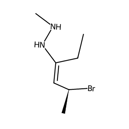 CC/C(=C\[C@H](C)Br)NNC